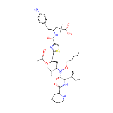 CCCCCON(C(=O)[C@@H](NC(=O)C1CCCCN1)[C@@H](C)CC)[C@H](C[C@@H](OC(C)=O)c1nc(C(=O)N[C@@H](Cc2ccc(N)cc2)CC(C)(C)C(=O)O)cs1)C(C)C